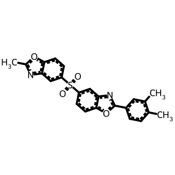 Cc1nc2cc(S(=O)(=O)c3ccc4oc(-c5ccc(C)c(C)c5)nc4c3)ccc2o1